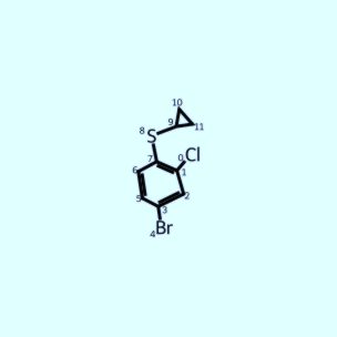 Clc1cc(Br)ccc1SC1CC1